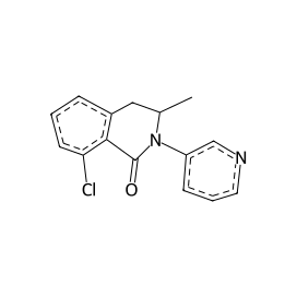 CC1Cc2cccc(Cl)c2C(=O)N1c1cccnc1